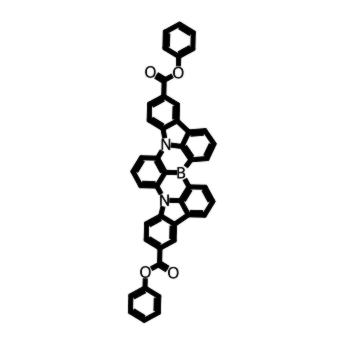 O=C(Oc1ccccc1)c1ccc2c(c1)c1cccc3c1n2-c1cccc2c1B3c1cccc3c4cc(C(=O)Oc5ccccc5)ccc4n-2c13